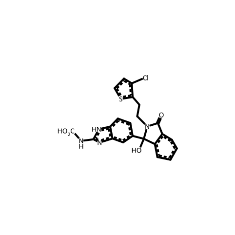 O=C(O)Nc1nc2cc(C3(O)c4ccccc4C(=O)N3CCc3sccc3Cl)ccc2[nH]1